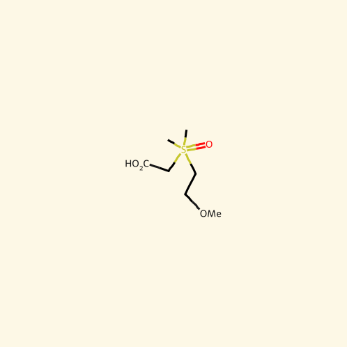 COCCS(C)(C)(=O)CC(=O)O